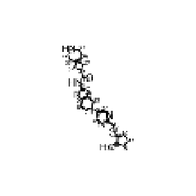 O=C(Nc1nc2ccc(-c3cnc(CO[C@H]4CCC[C@@H]4O)nc3)cc2s1)C1CC2(CCNCC2)C1